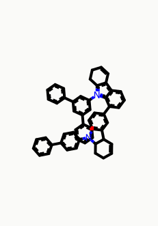 C1=Cc2c(n(-c3cc(-c4ccccc4)cc(-c4ccccc4)c3)c3c(-c4ccc5c(c4)C4C=CCCC4N5c4ccc(-c5ccccc5)cc4)cccc23)CC1